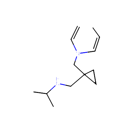 C=CN(/C=C\C)CC1(CNC(C)C)CC1